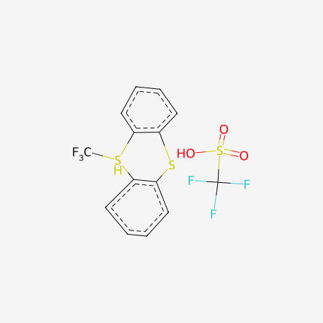 FC(F)(F)[SH]1c2ccccc2Sc2ccccc21.O=S(=O)(O)C(F)(F)F